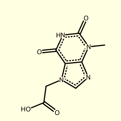 Cn1c(=O)[nH]c(=O)c2c1ncn2CC(=O)O